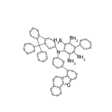 Bc1c(B)c(N(c2cccc(-c3cccc4oc5c6ccccc6ccc5c34)c2)c2ccc3c(c2)C(c2ccccc2)(c2ccccc2)c2ccccc2-3)c(B)c(B)c1-c1ccccc1